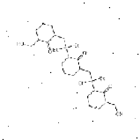 CCC(CC)(CC1CCCC(CO)C1=O)C1CCCC(CC(CC)(CC)C2CCCC(CO)C2=O)C1=O